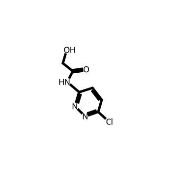 O=C(CO)Nc1ccc(Cl)nn1